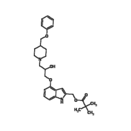 CC(C)(C)C(=O)OCc1cc2c(OCC(O)CN3CCC(COc4ccccc4)CC3)cccc2[nH]1